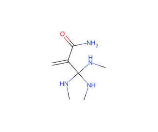 C=C(C(N)=O)C(NC)(NC)NC